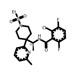 CCS(=O)(=O)N1CCC(c2cccc(C)n2)([C@H](C)NC(=O)c2c(F)ccc(F)c2Cl)CC1